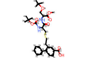 COC(=O)C(COC(C)(C)C)NC(=O)C(CSCCc1cc(C(=O)O)ccc1-c1ccccc1)NC(=O)OC(C)(C)C